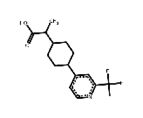 CC(C(=O)O)C1CCC(c2ccnc(C(F)(F)F)c2)CC1